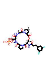 C[C@H]1CC2C(=O)O[C@@H](C)[C@H](NC(=O)CCc3cc(F)cc(F)c3)C(=O)N3CCCC3C(=O)N(C)[C@@H]([C@@H](C)OP(=O)(O)O)C(=O)N[C@@H](C)C(=O)N2C1